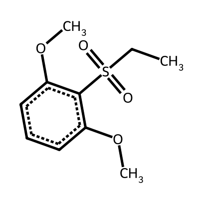 CCS(=O)(=O)c1c(OC)cccc1OC